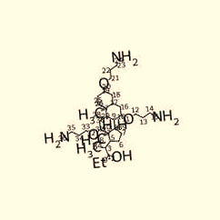 CCC(O)[C@@H](C)C1CC[C@H]2C3[C@H](OCCCN)CC4C[C@H](OCCCN)CCC4(C)[C@H]3C[C@H](OCCCN)C12C